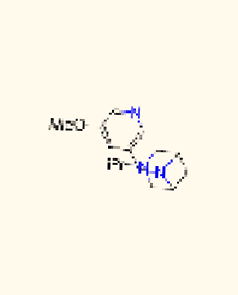 COc1cncc(CN2C3CC2CN(C(C)C)C3)c1